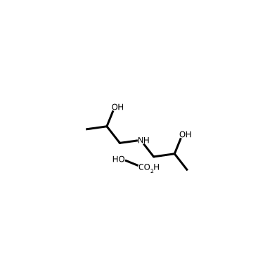 CC(O)CNCC(C)O.O=C(O)O